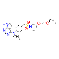 COCCOC1CCCN(S(=O)(=O)CC2CCC(N(C)c3ncnc4[nH]ccc34)CC2)C1